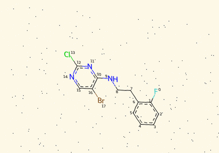 Fc1ccccc1CCNc1nc(Cl)ncc1Br